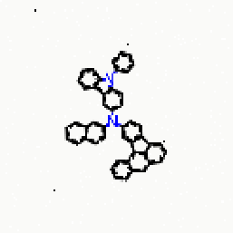 c1ccc(-n2c3ccccc3c3cc(N(c4ccc5c(c4)-c4c6ccccc6cc6cccc-5c46)c4ccc5ccccc5c4)ccc32)cc1